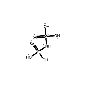 OP(O)(=[Se])NP(O)(O)=[Se]